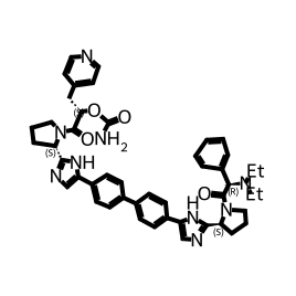 CCN(CC)[C@@H](C(=O)N1CCC[C@H]1c1ncc(-c2ccc(-c3ccc(-c4cnc([C@@H]5CCCN5C(=O)[C@H](Cc5ccncc5)OC(N)=O)[nH]4)cc3)cc2)[nH]1)c1ccccc1